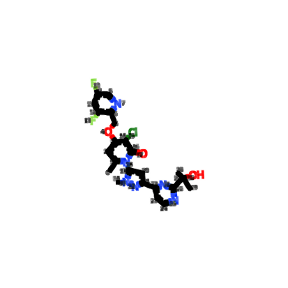 Cc1cc(OCc2ncc(F)cc2F)c(Cl)c(=O)n1-c1cc(-c2ccnc(C(C)(C)O)n2)nn1C